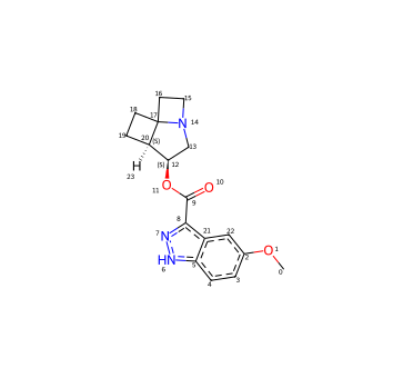 COc1ccc2[nH]nc(C(=O)O[C@@H]3CN4CCC45CC[C@H]35)c2c1